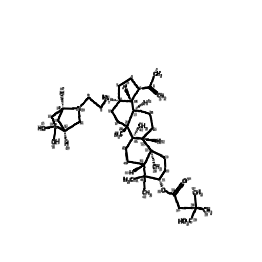 C=C(C)[C@@H]1CC[C@]2(NCCN3C[C@@H]4C[C@H]3CS4(O)O)CC[C@]3(C)[C@H](CC[C@@H]4[C@@]5(C)CC[C@H](OC(=O)CC(C)(C)C(=O)O)C(C)(C)[C@@H]5CC[C@]43C)[C@@H]12